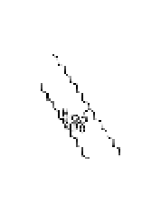 CCCCCCCCCCCCC(CCCCCCCCCC)COP(=O)(O)O.CCCCCCCCNCCCCCCCC